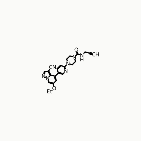 C#CCNC(=O)N1CCN(c2ccc(-c3cc(OCC)cn4ncc(C#N)c34)cn2)CC1